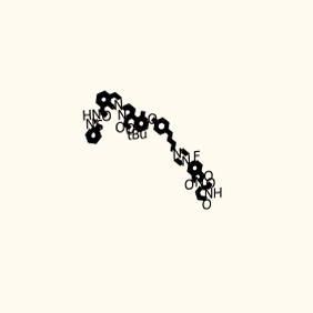 Cc1c(OC2CCC(CCCCN3CCN(c4cc5c(cc4F)C(=O)N(C4CCC(=O)NC4=O)C5=O)CC3)CC2)cccc1-c1ccc(N2CCc3cccc(C(=O)Nc4nc5ccccc5s4)c3C2)nc1C(=O)OC(C)(C)C